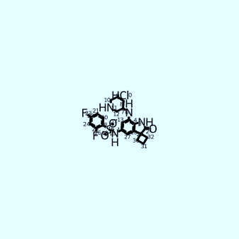 Cl.O=C1Nc2c(NC3CCCNC3)cc(NS(=O)(=O)c3ccc(F)cc3F)cc2C12CCC2